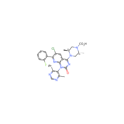 Cc1ncnc(C(C)C)c1-n1c(=O)nc(N2C[C@@H](C)N(C(=O)O)C[C@@H]2C)c2cc(Cl)c(-c3ccccc3F)nc21